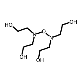 OCCN(CCO)ON(CCO)CCO